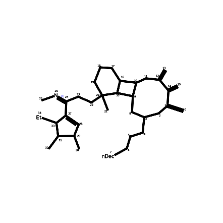 C=C1CC(CCCCCCCCCCCCC)CC2C(CC(=C)C1=C)C1CCCC(C)(CC/C(=N/C)C3=CC(C)C(C)C3CC)C12